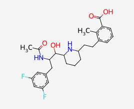 CC(=O)NC(Cc1cc(F)cc(F)c1)C(O)C1CCCC(CCc2cccc(C(=O)O)c2C)N1